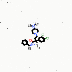 CC[C@H](NC(=O)C(C)(CCN1CCC(N(CC)C(C)=O)CC1)c1ccc(Cl)c(Cl)c1)c1ccccc1